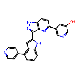 Oc1cncc(-c2ccc3[nH]nc(-c4cc5c(-c6ccncc6)cccc5[nH]4)c3n2)c1